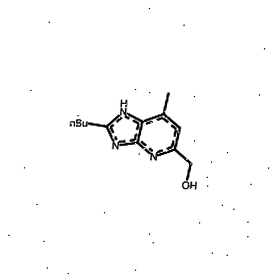 CCCCc1nc2nc(CO)cc(C)c2[nH]1